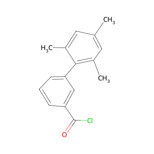 Cc1cc(C)c(-c2cccc(C(=O)Cl)c2)c(C)c1